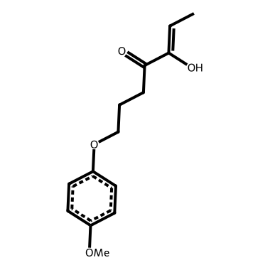 CC=C(O)C(=O)CCCOc1ccc(OC)cc1